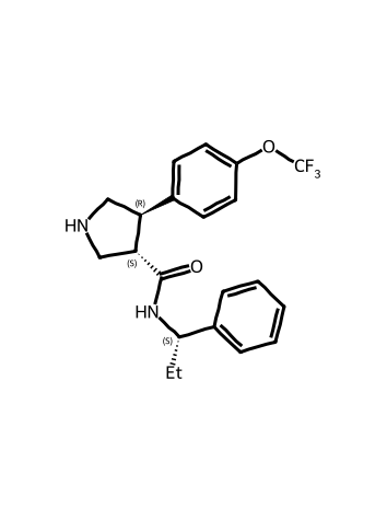 CC[C@H](NC(=O)[C@@H]1CNC[C@H]1c1ccc(OC(F)(F)F)cc1)c1ccccc1